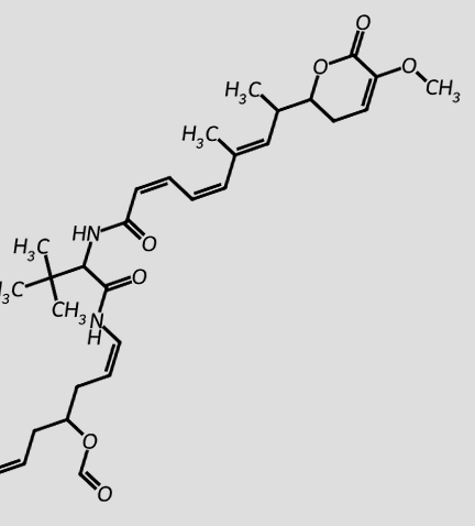 COC1=CCC(C(C)/C=C(C)/C=C\C=C/C(=O)NC(C(=O)N/C=C\CC(C/C=C(\C)Cl)OC=O)C(C)(C)C)OC1=O